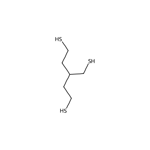 SCCC(CS)CCS